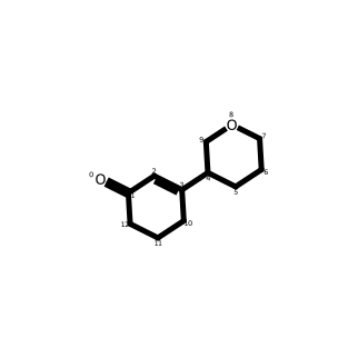 O=C1C=C(C2CCCOC2)CCC1